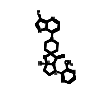 Cc1nccnc1[C@@H]1CC[C@H]2OC3(CCN(c4ccnc5c(F)cnn45)CC3)C(=O)N21